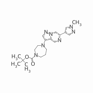 Cn1cc(-c2cn3ncc(N4CCCN(C(=O)OC(C)(C)C)CC4)c3cn2)cn1